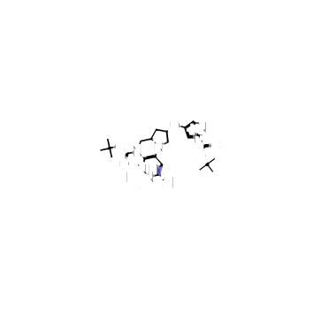 CC(C)(C)OC(=O)N1CC2CC(Oc3cnn(C(=O)OC(C)(C)C)c3)CN2C(/C=C(\N)Cl)=C1N